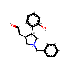 O=CC[C@@H]1CN(Cc2ccccc2)C[C@@H]1c1ccccc1O